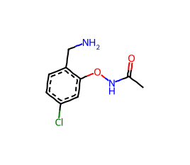 CC(=O)NOc1cc(Cl)ccc1CN